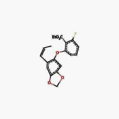 C/C=C\c1cc2c(cc1Oc1cccc(F)c1C(=O)OCC)OCO2